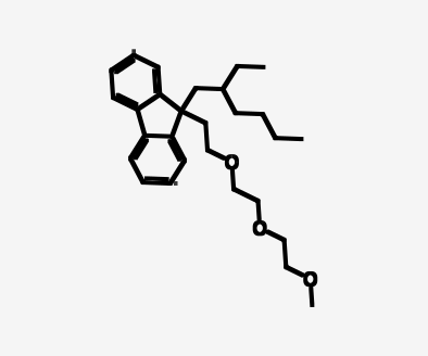 CCCCC(CC)CC1(CCOCCOCCOC)c2c[c]ccc2-c2cc[c]cc21